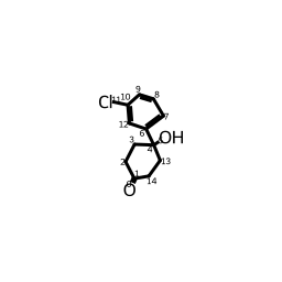 O=C1CCC(O)(c2cccc(Cl)c2)CC1